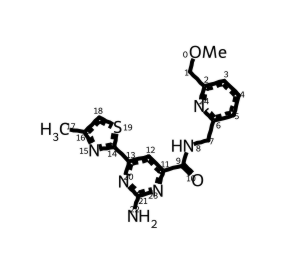 COCc1cccc(CNC(=O)c2cc(-c3nc(C)cs3)nc(N)n2)n1